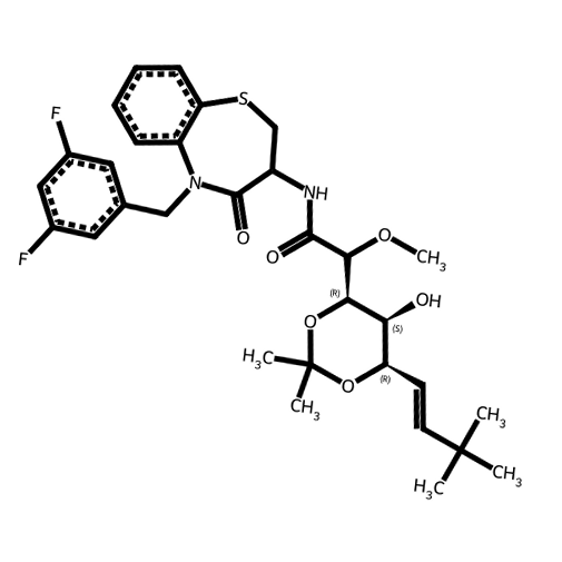 COC(C(=O)NC1CSc2ccccc2N(Cc2cc(F)cc(F)c2)C1=O)[C@@H]1OC(C)(C)O[C@H](C=CC(C)(C)C)[C@@H]1O